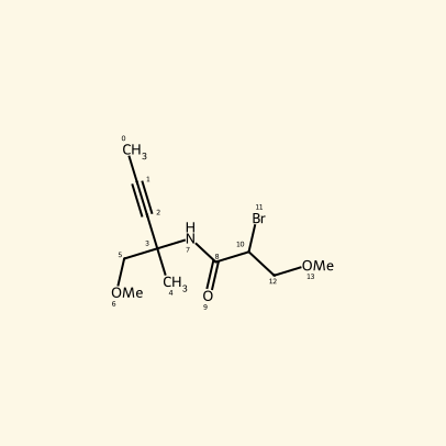 CC#CC(C)(COC)NC(=O)C(Br)COC